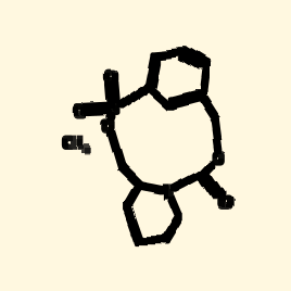 C.O=C1OCc2cccc(c2)S(=O)(=O)OCC2CCCCN12